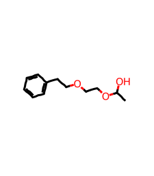 CC(O)OCCOCCc1ccccc1